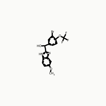 COc1ccc2[nH]c(C(O)c3ccc(OC(F)(F)F)c(Br)c3)nc2c1